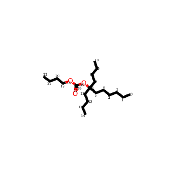 CCCCCCC(CCCC)(CCCC)OC(=O)OCCCC